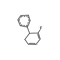 FC1=C[C]=CCC1c1ccccc1